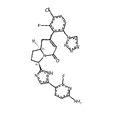 Nc1ccc(-c2cnc([C@H]3CC[C@H]4CC(c5c(-n6cnnn6)ccc(Cl)c5F)=CC(=O)N43)[nH]2)c(F)n1